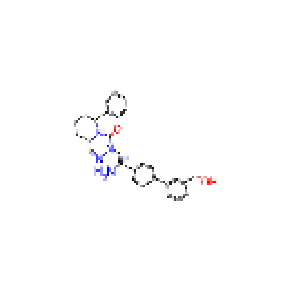 C=NN(/C=C(\N)c1ccc(-c2cccc(CO)c2)cc1)C(=O)N1CCCCC1c1ccccc1